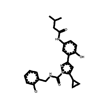 CC(C)CC(=O)Nc1ccc(O)c(-c2cc(C3CC3)n(C(=O)NCc3ccccc3Cl)n2)c1